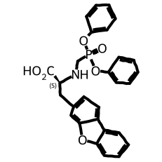 O=C(O)[C@H](Cc1ccc2c(c1)oc1ccccc12)NCP(=O)(Oc1ccccc1)Oc1ccccc1